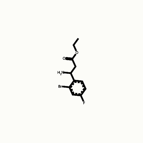 CCOC(=O)CC(N)c1ccc(F)cc1Br